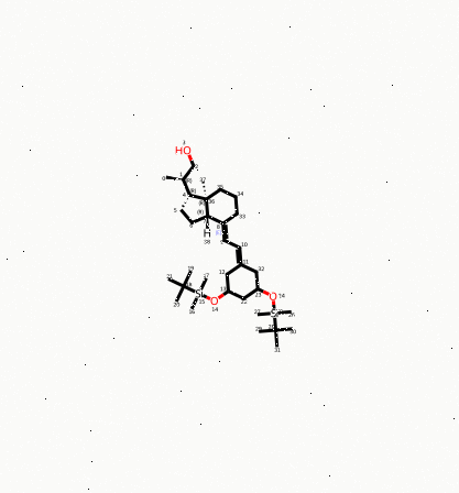 C[C@@H](CO)[C@H]1CC[C@H]2/C(=C/C=C3CC(O[Si](C)(C)C(C)(C)C)CC(O[Si](C)(C)C(C)(C)C)C3)CCC[C@]12C